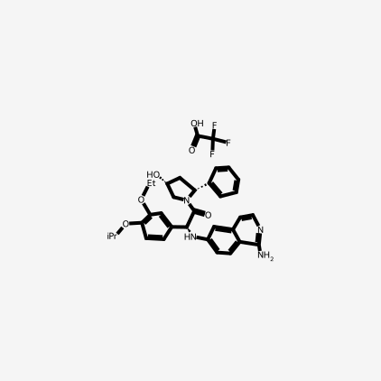 CCOc1cc([C@@H](Nc2ccc3c(N)nccc3c2)C(=O)N2C[C@H](O)C[C@@H]2c2ccccc2)ccc1OC(C)C.O=C(O)C(F)(F)F